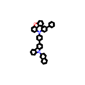 c1ccc(-c2ccc(N(c3ccc(-c4ccc5c(c4)c4ccccc4n5-c4ccc5ccccc5c4)cc3)c3cccc4oc5ccccc5c34)cc2)cc1